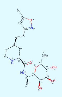 CCc1cc(CC[C@@H]2CCN[C@H](C(=O)N[C@H](C(C)C)[C@H]3O[C@H](SC)[C@H](O)[C@@H](O)[C@H]3O)C2)no1